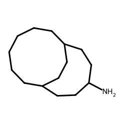 NC1CCC2CCCCCCC(CC1)CC2